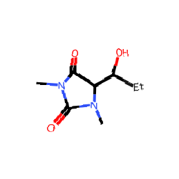 CCC(O)C1C(=O)N(C)C(=O)N1C